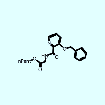 CCCCCOC(=O)CNC(=O)c1ncccc1OCc1ccccc1